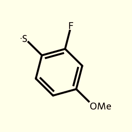 COc1ccc([S])c(F)c1